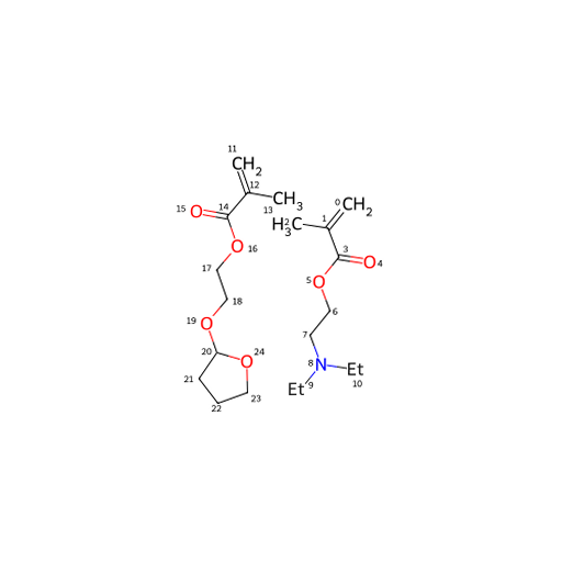 C=C(C)C(=O)OCCN(CC)CC.C=C(C)C(=O)OCCOC1CCCO1